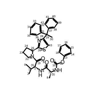 CC(C)[C@H](NC(=O)[C@H](C)NC(=O)Oc1ccccc1)C(=O)N1CCC[C@H]1c1nc(C(C)(c2ccccc2)c2ccccc2)cs1